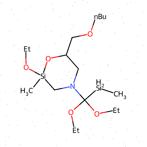 CCCCOCC1CN(C(OCC)(OCC)[SiH2]C)C[Si](C)(OCC)O1